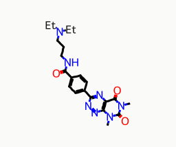 CCN(CC)CCCNC(=O)c1ccc(-c2nnc3c(n2)c(=O)n(C)c(=O)n3C)cc1